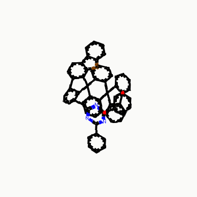 c1ccc(-c2nc(-c3ccccc3)nc(-c3cccc4c3C3(c5ccccc5C5(c6ccccc6-c6ccccc65)c5ccccc53)c3c-4ccc4c3sc3ccccc34)n2)cc1